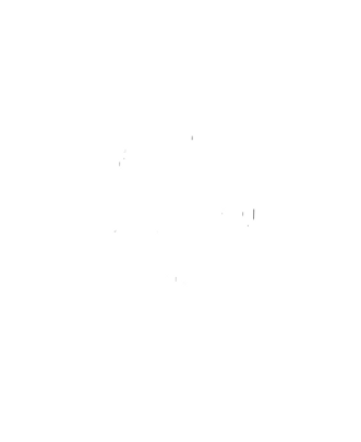 O=C(O)C(=C(Cl)Cl)c1ccco1